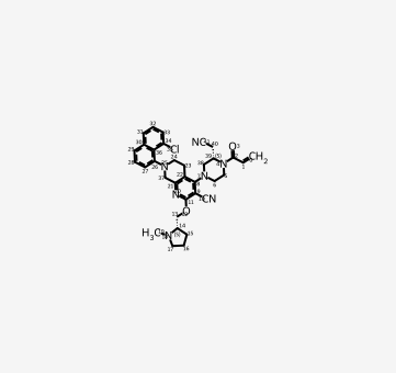 C=CC(=O)N1CCN(c2c(C#N)c(OC[C@@H]3CCCN3C)nc3c2CCN(c2cccc4cccc(Cl)c24)C3)C[C@@H]1CC#N